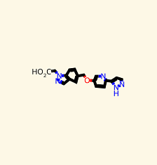 O=C(O)Cn1ncc2cc(COc3ccc(-c4ccn[nH]4)nc3)ccc21